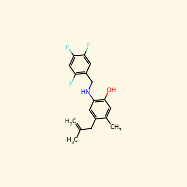 C=C(C)Cc1cc(NCc2cc(F)c(F)cc2F)c(O)cc1C